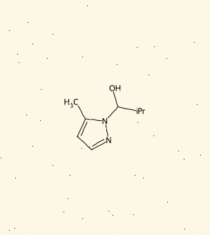 Cc1ccnn1C(O)C(C)C